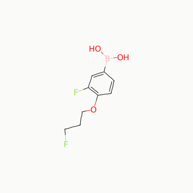 OB(O)c1ccc(OCCCF)c(F)c1